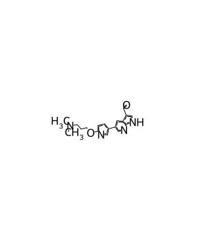 CN(C)CCCOc1ccc(-c2cnc3[nH]cc(C=O)c3c2)cn1